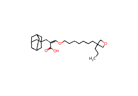 CCCC1(CCCCCCCOC=C(CC23CC4CC(CC(C4)C2)C3)C(=O)O)COC1